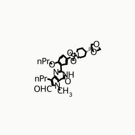 CCCOc1ccc(S(=O)(=O)N2CCC([C@@H]3COCO3)CC2)cc1-c1nc2c(CCC)c(C=O)n(C)c2c(=O)[nH]1